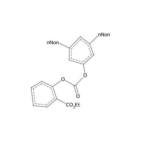 CCCCCCCCCc1cc(CCCCCCCCC)cc(OC(=O)Oc2ccccc2C(=O)OCC)c1